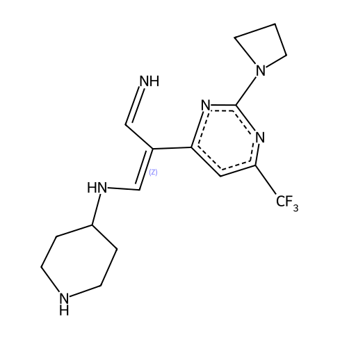 N=C/C(=C\NC1CCNCC1)c1cc(C(F)(F)F)nc(N2CCC2)n1